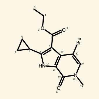 CCOC(=O)c1c(C2CC2)[nH]c2c(=O)n(C)cc(Br)c12